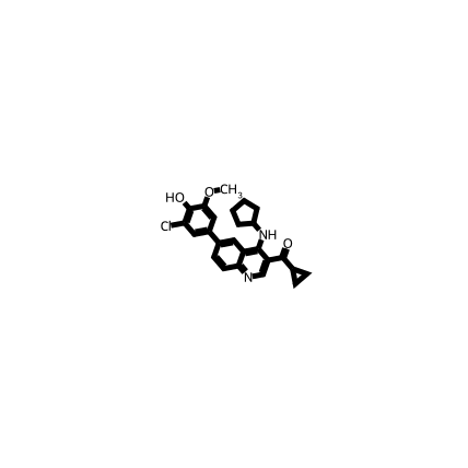 COc1cc(-c2ccc3ncc(C(=O)C4CC4)c(NC4CCCC4)c3c2)cc(Cl)c1O